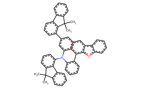 CC1(C)c2ccccc2-c2c(N(c3cccc(-c4cccc5c4C(C)(C)c4ccccc4-5)c3)c3ccccc3-c3cccc4c3oc3ccccc34)cccc21